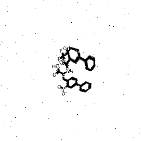 O=C(O)C(Cc1ccc(-c2ccccc2)cc1[N+](=O)[O-])NC(=O)C1C=C(c2ccccc2)C=CC1(O)C(F)(F)F